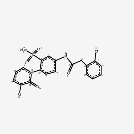 NS(=O)(=O)c1cc(NC(=O)Cc2ccccc2Cl)ccc1-n1cccc(Cl)c1=O